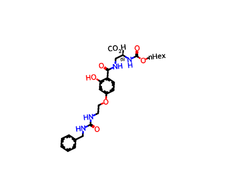 CCCCCCOC(=O)N[C@@H](CNC(=O)c1ccc(OCCNC(=O)NCc2ccccc2)cc1O)C(=O)O